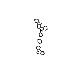 c1ccc2c(c1)oc1ccc(-c3ccc(-c4ccc(-n5c6ccccc6c6c7sc8ccccc8c7ccc65)cc4)cc3)cc12